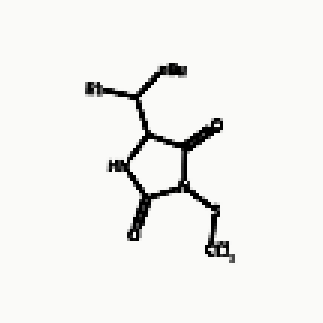 CCCCC(CC)C1NC(=O)N(SC(Cl)(Cl)Cl)C1=O